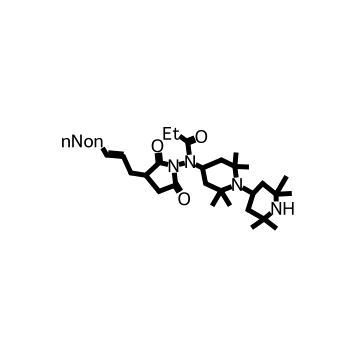 CCCCCCCCCC=CCC1CC(=O)N(N(C(=O)CC)C2CC(C)(C)N(C3CC(C)(C)NC(C)(C)C3)C(C)(C)C2)C1=O